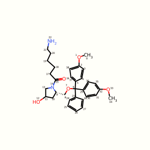 COc1ccc(C(OC[C@@H]2CC(O)CN2C(=O)CCCCCN)(c2ccccc2)c2ccc(OC)cc2)cc1